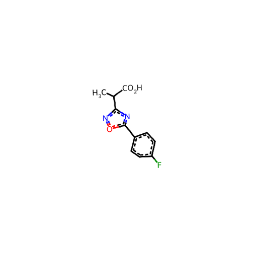 CC(C(=O)O)c1noc(-c2ccc(F)cc2)n1